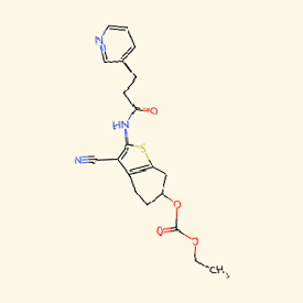 CCOC(=O)OC1CCc2c(sc(NC(=O)CCc3cccnc3)c2C#N)C1